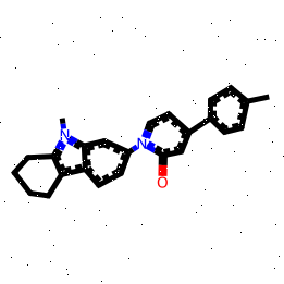 Cc1ccc(-c2ccn(-c3ccc4c5c(n(C)c4c3)CCCC5)c(=O)c2)cc1